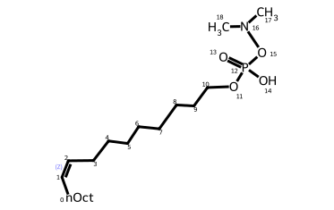 CCCCCCCC/C=C\CCCCCCCCOP(=O)(O)ON(C)C